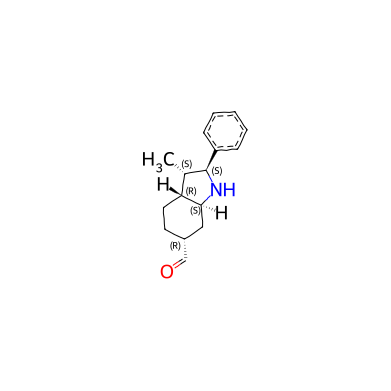 C[C@H]1[C@H]2CC[C@@H](C=O)C[C@@H]2N[C@@H]1c1ccccc1